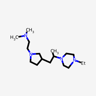 CCN1CCN(C(C)CC2CCN(CCN(C)C)C2)CC1